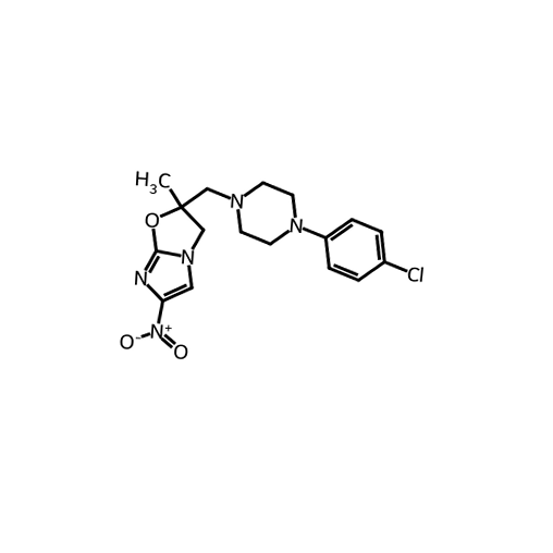 CC1(CN2CCN(c3ccc(Cl)cc3)CC2)Cn2cc([N+](=O)[O-])nc2O1